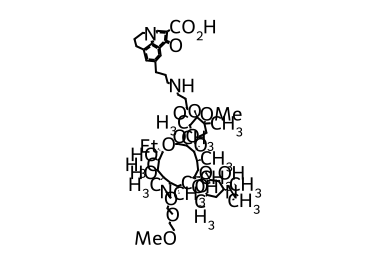 CC[C@@H]1OC(=O)[C@H](C)[C@H](O[C@@H]2C[C@](C)(OC)[C@H](OC(=O)CCNCCCc3cc4c5c(c3)c(=O)c(C(=O)O)cn5CCC4)[C@H](C)O2)[C@@H](C)[C@H](O[C@@H]2O[C@H](C)C[C@H](N(C)C)[C@@H]2O)[C@](C)(O)C[C@H](C)/C(=N\OCOCCOC)[C@H](C)[C@H](O)[C@@]1(C)O